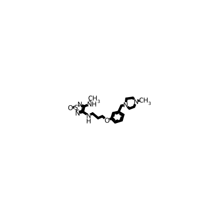 CNc1n[s+]([O-])nc1NCCCOc1cccc(CN2CCN(C)CC2)c1